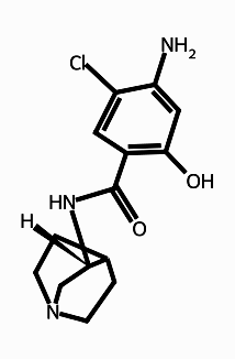 Nc1cc(O)c(C(=O)N[C@H]2CN3CCC2CC3)cc1Cl